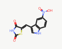 O=C1NC(=O)/C(=C/c2c[nH]c3ccc([N+](=O)O)cc23)S1